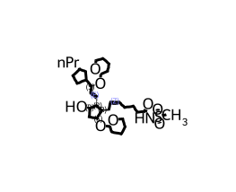 CCCC1CCC([C@@H](/C=C/[C@@H]2[C@@H](C/C=C\CCCC(=O)NS(C)(=O)=O)[C@@H](OC3CCCCO3)C[C@H]2O)OC2CCCCO2)C1